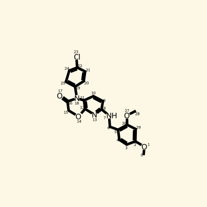 COc1ccc(CNc2ccc3c(n2)OCC(=O)N3c2ccc(Cl)cc2)c(OC)c1